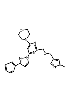 Cn1cc(COCc2nc(N3CCOCC3)cc(-n3ccc(-c4ccccc4)n3)n2)cn1